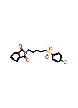 O=C1c2ccccc2C(=O)N1CCCCCS(=O)(=O)c1ccc(Cl)cc1